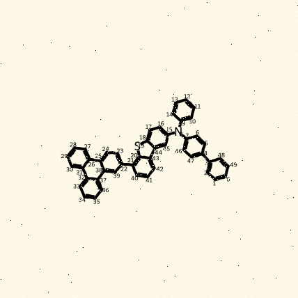 c1ccc(-c2ccc(N(c3ccccc3)c3ccc4sc5c(-c6ccc7c8ccccc8c8ccccc8c7c6)cccc5c4c3)cc2)cc1